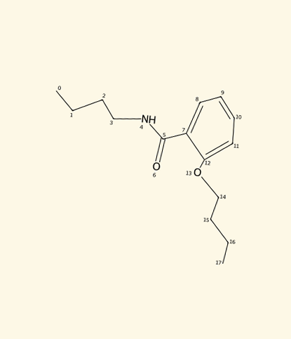 CCCCNC(=O)c1ccccc1OCCCC